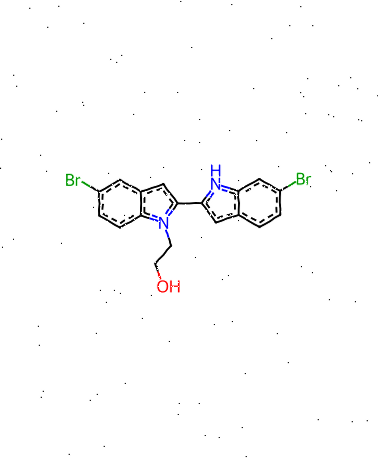 OCCn1c(-c2cc3ccc(Br)cc3[nH]2)cc2cc(Br)ccc21